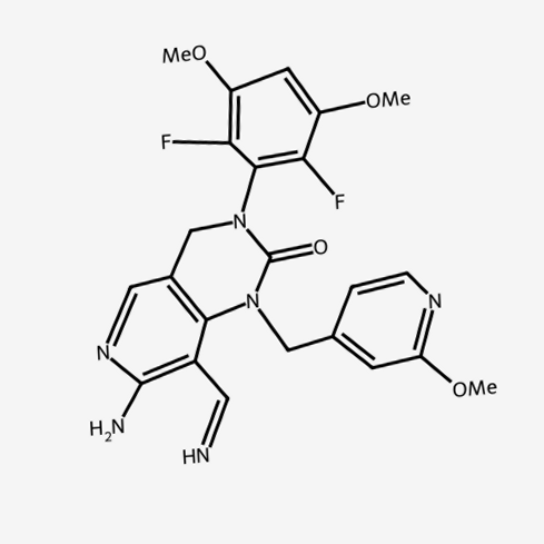 COc1cc(CN2C(=O)N(c3c(F)c(OC)cc(OC)c3F)Cc3cnc(N)c(C=N)c32)ccn1